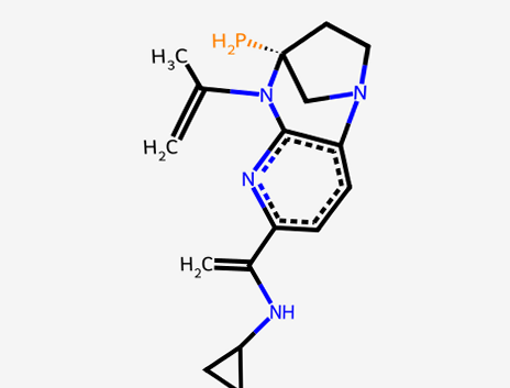 C=C(NC1CC1)c1ccc2c(n1)N(C(=C)C)[C@@]1(P)CCN2C1